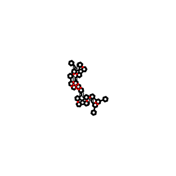 c1ccc(-c2cccc(-c3ccccc3N(c3cccc(-c4ccccc4)c3)c3ccc4c(c3)C3(c5ccccc5-4)c4ccccc4N(c4cccc(-c5cccc6cc(N(c7ccc8c(c7)C7(c9ccccc9-8)c8ccccc8N(c8ccccc8)c8ccccc87)c7ccccc7-c7cccc(-c8ccccc8)c7)ccc56)c4)c4ccccc43)c2)cc1